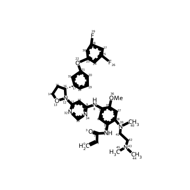 C=CC(=O)Nc1cc(Nc2cc(N3OCC[C@@H]3c3cccc(Oc4cc(F)cc(F)c4)c3)ncn2)c(OC)cc1N(C)CCN(C)C